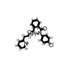 CCCN(C(=O)c1ccccc1COCCc1ccccn1)c1ccc(Cl)cc1